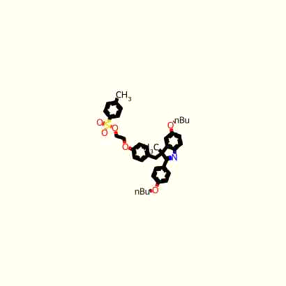 CCCCOc1ccc(C2=Nc3ccc(OCCCC)cc3C2(C)Cc2ccc(OCCOS(=O)(=O)c3ccc(C)cc3)cc2)cc1